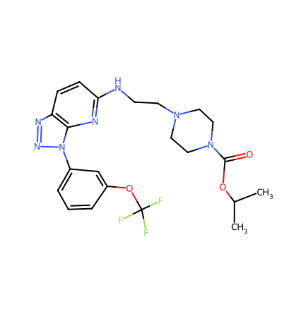 CC(C)OC(=O)N1CCN(CCNc2ccc3nnn(-c4cccc(OC(F)(F)F)c4)c3n2)CC1